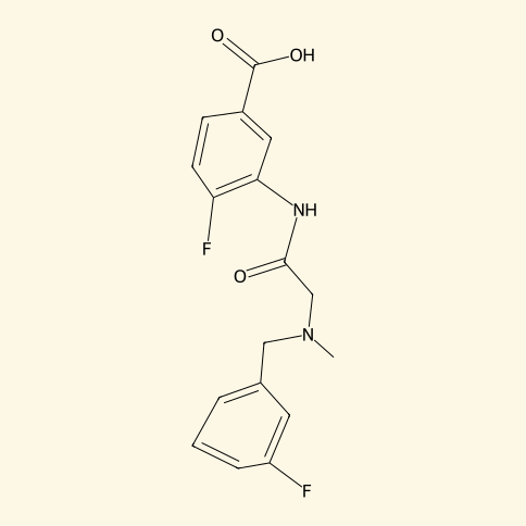 CN(CC(=O)Nc1cc(C(=O)O)ccc1F)Cc1cccc(F)c1